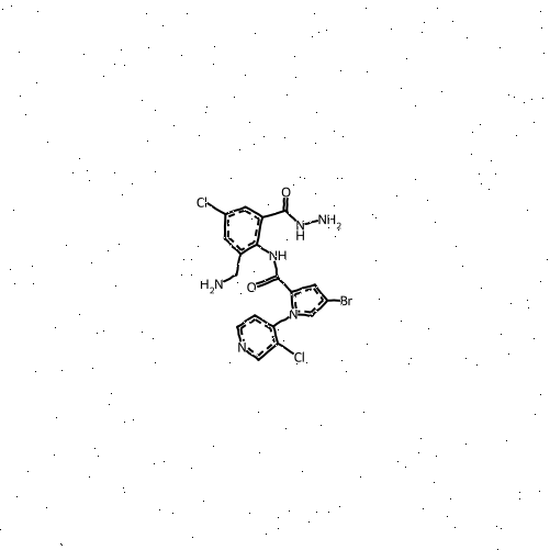 NCc1cc(Cl)cc(C(=O)NN)c1NC(=O)c1cc(Br)cn1-c1ccncc1Cl